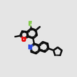 Cc1cc2c(F)c(C)cc(-c3nccc4cc(C5CCCC5)ccc34)c2o1